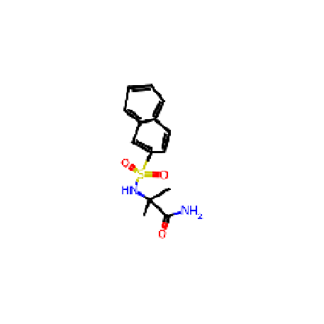 CC(C)(NS(=O)(=O)c1ccc2ccccc2c1)C(N)=O